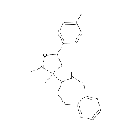 Cc1ccc(C2CC(C)(C3CCc4ccccc4ON3)N(C)O2)cc1